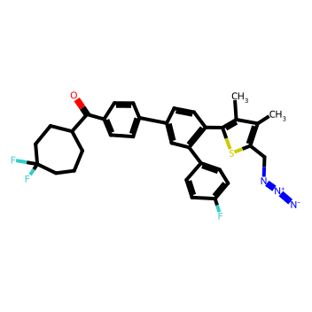 Cc1c(CN=[N+]=[N-])sc(-c2ccc(-c3ccc(C(=O)C4CCCC(F)(F)CC4)cc3)cc2-c2ccc(F)cc2)c1C